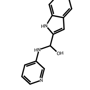 OC(Nc1cccnc1)c1cc2ccccc2[nH]1